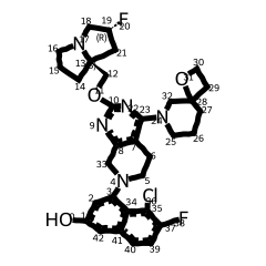 Oc1cc(N2CCc3c(nc(OC[C@@]45CCCN4C[C@H](F)C5)nc3N3CCCC4(CCO4)C3)C2)c2c(Cl)c(F)ccc2c1